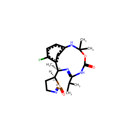 CC1(C)Nc2ccc(F)c(c2)[C@@]2(C)N=C(NC(=O)O1)C(C)(C)[S@@]1(=O)=NCC[C@@H]21